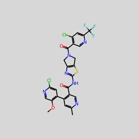 COc1cnc(Cl)cc1-c1cc(C)ncc1C(=O)Nc1nc2c(s1)CN(C(=O)c1cnc(C(F)(F)F)cc1Cl)C2